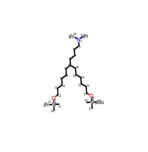 CC(C)N(CCCCC(CCCCCCO[Si](C)(C)C(C)C)CCCCCCO[Si](C)(C)C(C)(C)C)C(C)C